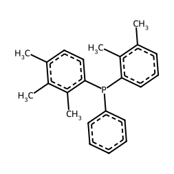 Cc1cccc(P(c2ccccc2)c2ccc(C)c(C)c2C)c1C